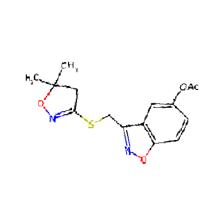 CC(=O)Oc1ccc2onc(CSC3=NOC(C)(C)C3)c2c1